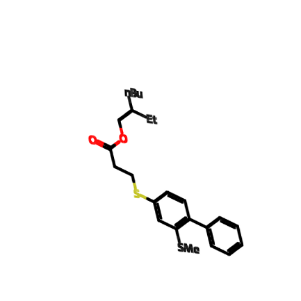 CCCCC(CC)COC(=O)CCSc1ccc(-c2ccccc2)c(SC)c1